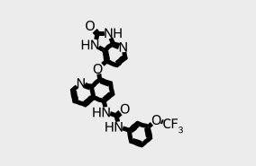 O=C(Nc1cccc(OC(F)(F)F)c1)Nc1ccc(Oc2ccnc3[nH]c(=O)[nH]c23)c2ncccc12